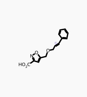 O=C(O)c1cc(COC/C=C/c2ccccc2)on1